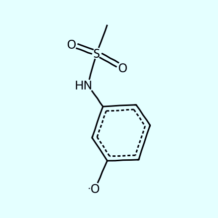 CS(=O)(=O)Nc1cccc([O])c1